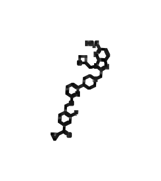 O=C(O)c1ccc2nc(CN3CCC(c4cccc(OCc5ccc(C(=O)C6CC6)cc5F)n4)CC3)n(CC3CCO3)c2n1